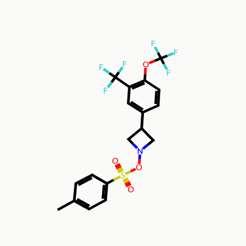 Cc1ccc(S(=O)(=O)ON2CC(c3ccc(OC(F)(F)F)c(C(F)(F)F)c3)C2)cc1